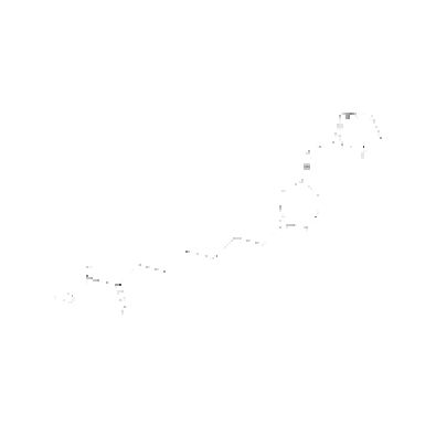 O=C(CCCCCCN1OS/C(=C\c2ccco2)O1)NO